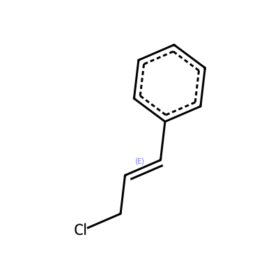 ClC/C=C/c1ccccc1